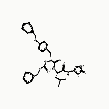 CC(C)C[C@H](NC(=O)[C@H](Cc1ccc(OCc2ccccc2)cc1)NC(=O)OCc1ccccc1)C(=O)Nc1n[nH]c(=S)s1